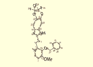 COc1ccnc(CSc2nc3cc4c(cc3[nH]2)OC(F)(F)C(F)(Cl)O4)c1OCc1ccccc1